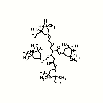 CC1(C)CC(OCOCC(C(=O)OC2CC(C)(C)NC(C)(C)C2)C(CC(=O)OC2CC(C)(C)NC(C)(C)C2)OCOC2CC(C)(C)NC(C)(C)C2)CC(C)(C)N1